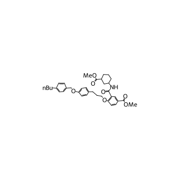 CCCCc1ccc(COc2ccc(CCCOc3ccc(C(=O)OC)cc3C(=O)NC3CCCC(C(=O)OC)C3)cc2)cc1